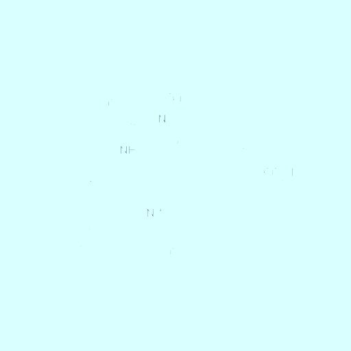 C=C(CCCN(C(=O)NCC1(C)CC(N=C=O)CC(C)(C)C1)C(C)(C)C)C(=O)O